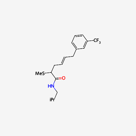 CSC(C/C=C/Cc1cccc(C(F)(F)F)c1)C(=O)NCC(C)C